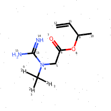 [2H]C([2H])([2H])N(CC(=O)OC(C)C=C)C(=N)N